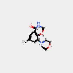 Cc1cc2c(c(N3CCOCC3)c1)OCNC2=O